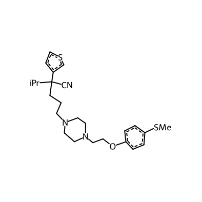 CSc1ccc(OCCN2CCN(CCCC(C#N)(c3ccsc3)C(C)C)CC2)cc1